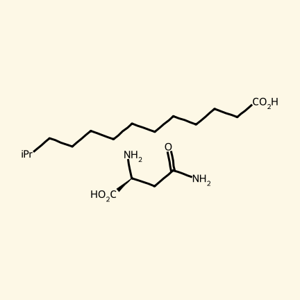 CC(C)CCCCCCCCCCC(=O)O.NC(=O)C[C@H](N)C(=O)O